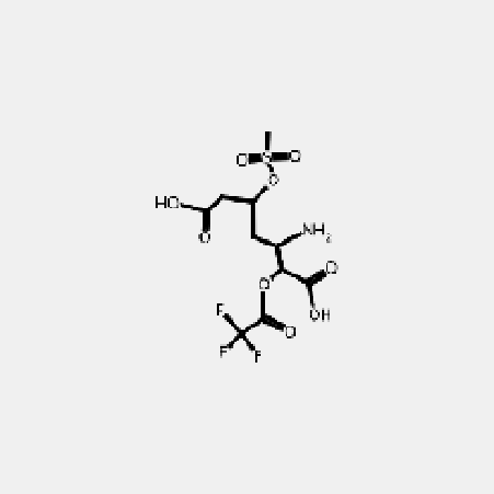 CS(=O)(=O)OC(CC(=O)O)CC(N)C(OC(=O)C(F)(F)F)C(=O)O